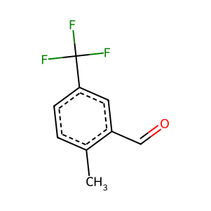 Cc1ccc(C(F)(F)F)cc1C=O